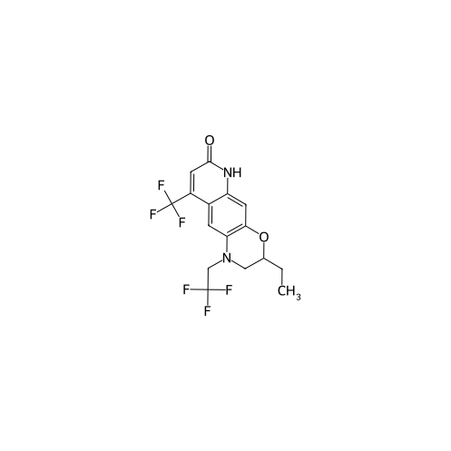 CCC1CN(CC(F)(F)F)c2cc3c(C(F)(F)F)cc(=O)[nH]c3cc2O1